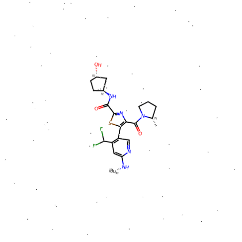 CC[C@@H](C)Nc1cc(C(F)F)c(-c2sc(C(=O)N[C@H]3CC[C@H](O)C3)nc2C(=O)N2CCC[C@@H]2C)cn1